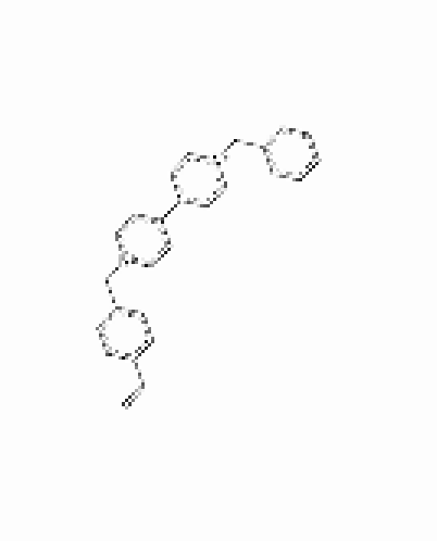 C=Cc1ccc(C[n+]2ccc(-c3cc[n+](Cc4ccccc4)cc3)cc2)cc1